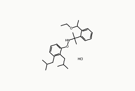 CCOC(C)c1ccccc1C(C)(C)NOc1cccc(CC(C)C)c1CC(C)C.Cl